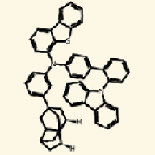 c1cc(N(c2ccc(-c3ccccc3-n3c4ccccc4c4ccccc43)cc2)c2cccc3c2sc2ccccc23)cc(C23CC4C5C[C@@H](C2)C4[C@@H](C5)C3)c1